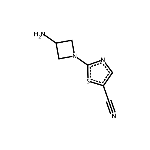 N#Cc1cnc(N2CC(N)C2)s1